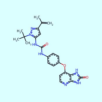 C=C(C)c1cc(NC(=O)Nc2ccc(Oc3ccnc4[nH]c(=O)[nH]c34)cc2)n(C(C)(C)C)n1